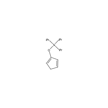 CC(C)[Si](OC1=[C]CC=C1)(C(C)C)C(C)C